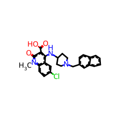 Cn1c(=O)c(C(=O)O)c(NC2CCN(Cc3ccc4ccccc4c3)CC2)c2cc(Cl)ccc21